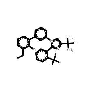 CC(C)(O)c1cn(-c2cccc(-c3cccc(CI)c3Cl)c2)c(-c2ccccc2C(F)(F)F)n1